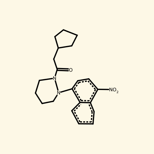 O=C(CC1CCCC1)N1CCCCN1c1ccc([N+](=O)[O-])c2ccccc12